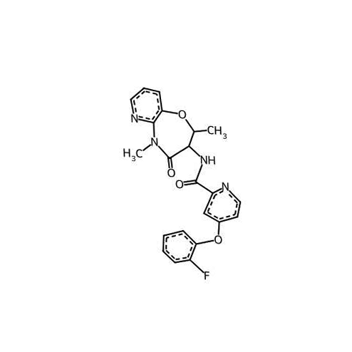 CC1Oc2cccnc2N(C)C(=O)C1NC(=O)c1cc(Oc2ccccc2F)ccn1